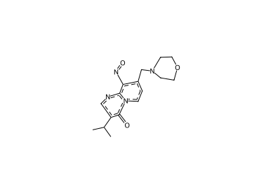 CC(C)c1cnc2c(N=O)c(CN3CCOCC3)ccn2c1=O